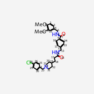 COc1ccc(CNC(=O)c2ccc(CNC(=O)CCC3CCN(Cc4ccc(Cl)cc4)CC3)cc2)cc1OC